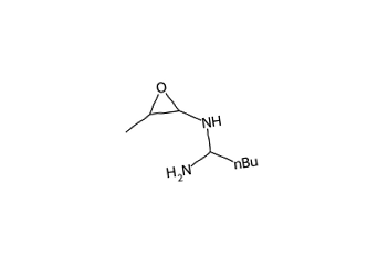 CCCCC(N)NC1OC1C